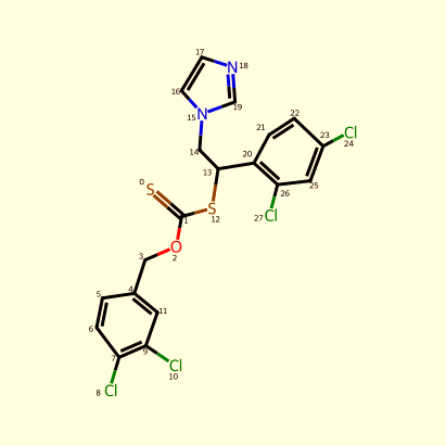 S=C(OCc1ccc(Cl)c(Cl)c1)SC(Cn1ccnc1)c1ccc(Cl)cc1Cl